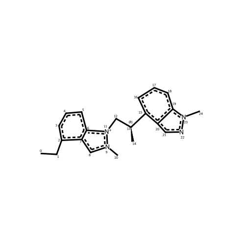 CCc1cccc2c1cn(C)[n+]2C[C@H](C)c1cccc2c1cnn2C